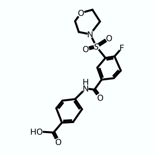 O=C(O)c1ccc(NC(=O)c2ccc(F)c(S(=O)(=O)N3CCOCC3)c2)cc1